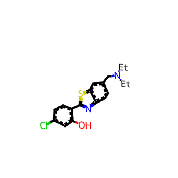 CCN(CC)Cc1ccc2nc(-c3ccc(Cl)cc3O)sc2c1